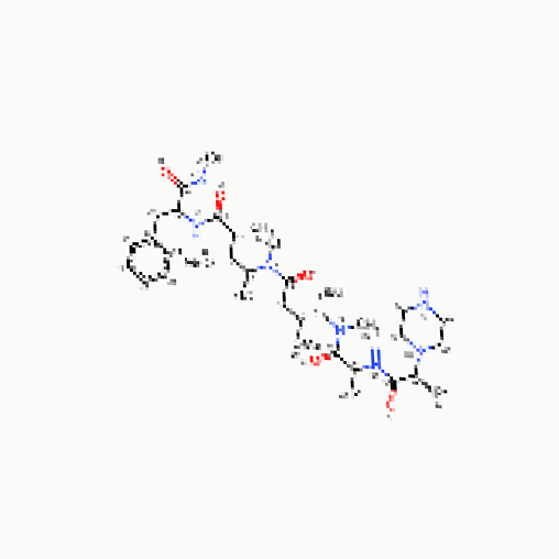 CC[C@H](C)[C@@H](C(CC(=O)N(CC)[C@@H](CC)[C@H](OC)[C@@H](C)C(=O)NC(Cc1ccccc1)C(=O)NC(C)(C)C)OC)N(C)C(=O)[C@@H](NC(=O)[C@H](C(C)C)N1CCNCC1)C(C)C